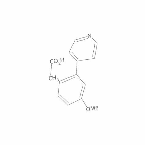 CC(=O)O.COc1cccc(-c2ccncc2)c1